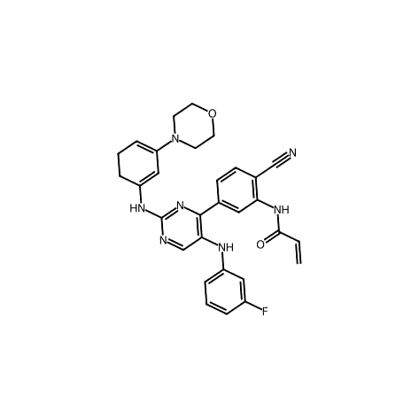 C=CC(=O)Nc1cc(-c2nc(NC3=CC(N4CCOCC4)=CCC3)ncc2Nc2cccc(F)c2)ccc1C#N